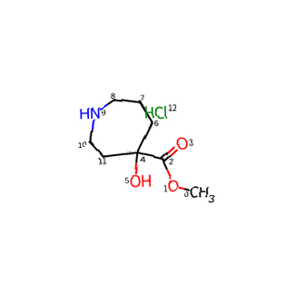 COC(=O)C1(O)CCCNCC1.Cl